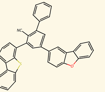 N#Cc1c(-c2ccccc2)cc(-c2ccc3oc4ccccc4c3c2)cc1-c1cccc2c1sc1ccccc12